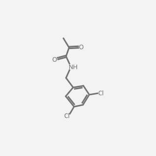 CC(=O)C(=O)NCc1cc(Cl)cc(Cl)c1